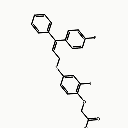 O=C(O)COc1ccc(SC/C=C(/c2ccccc2)c2ccc(F)cc2)cc1I